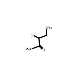 COCC(Br)C(=O)OC